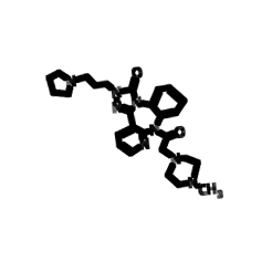 CN1CCN(CC(=O)N2c3ccccc3-n3c(nn(CCCN4CCCC4)c3=O)-c3cccnc32)CC1